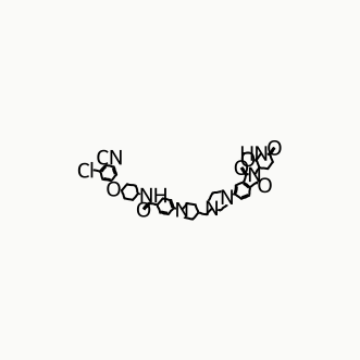 N#Cc1ccc(O[C@H]2CC[C@H](NC(=O)C3C=CC(N4CCC(CN5CCCN(c6ccc7c(c6)C(=O)N(C6CCC(=O)NC6=O)C7=O)CC5)CC4)=CC3)CC2)cc1Cl